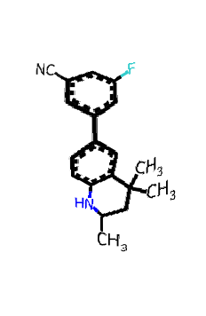 CC1CC(C)(C)c2cc(-c3cc(F)cc(C#N)c3)ccc2N1